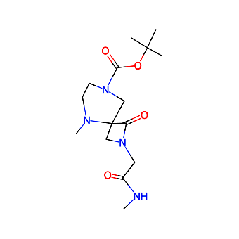 CNC(=O)CN1CC2(CN(C(=O)OC(C)(C)C)CCN2C)C1=O